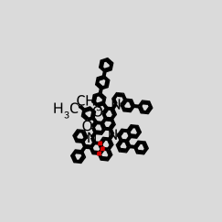 CC(C)c1ccc2c(c1)oc1c(N3c4ccccc4C(c4ccccc4)=C4C=CC=CC43)cc3c(N(c4ccc5ccccc5c4)c4cc5ccccc5c5c(-c6ccccc6)cccc45)cc4cc(N5CC=Cc6cc(-c7ccccc7)ccc65)c5c6cc(-c7ccc(-c8ccccc8)cc7)ccc6oc5c4c3c12